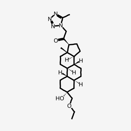 CCOC[C@@]1(O)CC[C@H]2[C@@H](CC[C@@H]3[C@@H]2CC[C@]2(C)[C@@H](C(=O)Cn4nnnc4C)CC[C@@H]32)C1